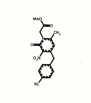 COC(=O)Cn1c(C)cc(Cc2ccc(C#N)cc2)c([N+](=O)[O-])c1=O